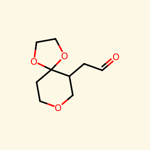 O=CCC1COCCC12OCCO2